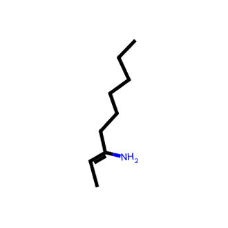 C/C=C(\N)CCCCCC